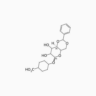 O=C(O)C1CCC(O[C@@H]2OC3COC(c4ccccc4)O[C@@H]3C(O)C2O)CC1